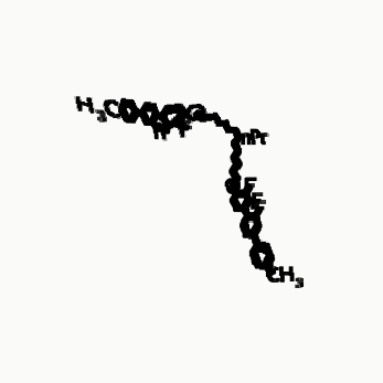 CCCC(CCCCCCOc1ccc(-c2ccc(-c3ccc(C)cc3)cc2F)c(F)c1F)CCCCCCOc1ccc(-c2ccc(-c3ccc(C)cc3)cc2F)c(F)c1F